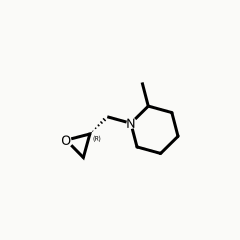 CC1CCCCN1C[C@@H]1CO1